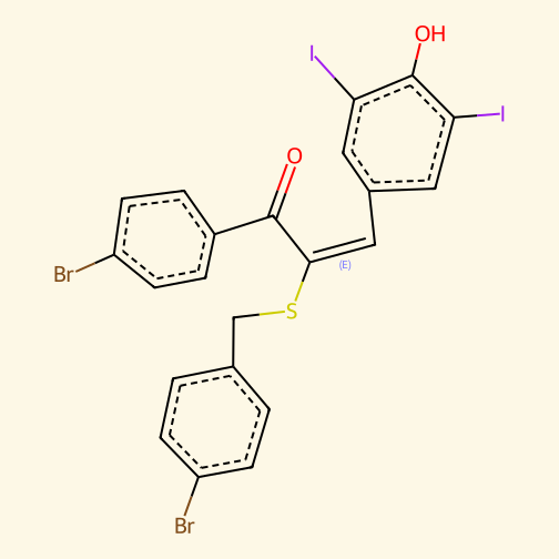 O=C(/C(=C\c1cc(I)c(O)c(I)c1)SCc1ccc(Br)cc1)c1ccc(Br)cc1